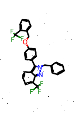 FC(F)(F)c1ccccc1COc1ccc(-c2c3cccc(C(F)(F)F)c3nn2Cc2ccccc2)cc1